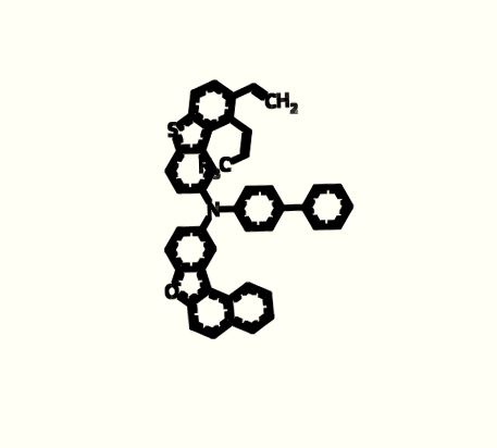 C=Cc1ccc2sc3ccc(N(c4ccc(-c5ccccc5)cc4)c4ccc5oc6ccc7ccccc7c6c5c4)cc3c2c1/C=C\C